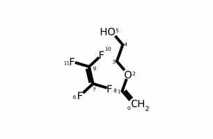 C=COCCO.FC(F)=C(F)F